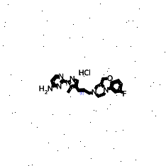 Cc1c(/C=C/CN2CCN3c4cc(F)ccc4OCC3C2)cnn1-c1nccc(N)n1.Cl